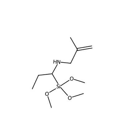 C=C(C)CNC(CC)[Si](OC)(OC)OC